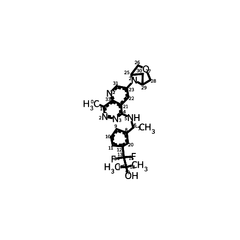 Cc1nnc(N[C@H](C)c2cccc(C(F)(F)C(C)(C)O)c2)c2cc(N3C4COCC3C4)cnc12